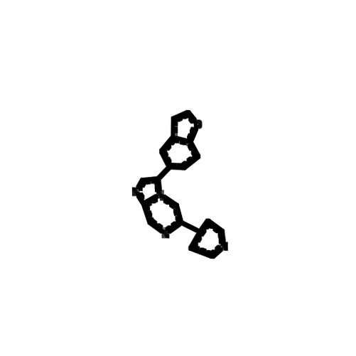 c1cc(-c2cn3c(-c4ccc5occc5c4)cnc3cn2)ccn1